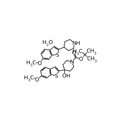 COc1ccc2cc(C3(O)CCN(C(=O)OC(C)(C)C)CC3)sc2c1.COc1ccc2cc(C3CCNCC3)sc2c1.O